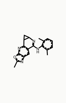 Cc1nc2cc3c(nc2o1)C1CC1N=C3Nc1c(C)cccc1C